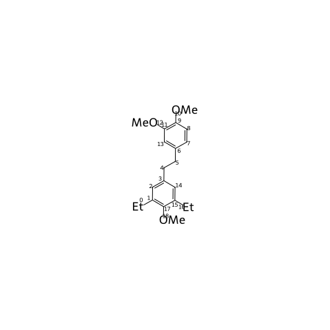 CCc1cc(CCc2ccc(OC)c(OC)c2)cc(CC)c1OC